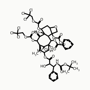 CC(=O)OC12COC1CC(OC(=O)OCC(Cl)(Cl)Cl)C1(C)C(=O)C(OC(=O)OCC(Cl)(Cl)Cl)C3=C(C)C(OC(=O)C(O)C(NC(=O)OC(C)(C)C)c4ccccc4)CC(O)(C(OC(=O)c4ccccc4)C21)C3(C)C